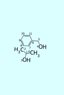 CC(C)O.OCc1ccccc1